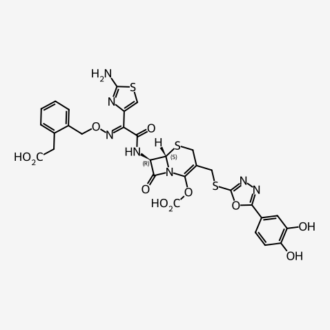 Nc1nc(C(=NOCc2ccccc2CC(=O)O)C(=O)N[C@@H]2C(=O)N3C(OC(=O)O)=C(CSc4nnc(-c5ccc(O)c(O)c5)o4)CS[C@@H]23)cs1